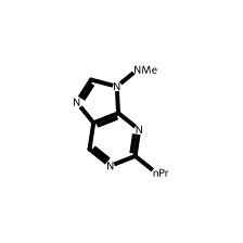 CCCc1ncc2ncn(NC)c2n1